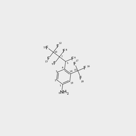 Nc1ccc(C(F)C(F)(F)C(F)(F)F)c(C(F)(F)F)c1